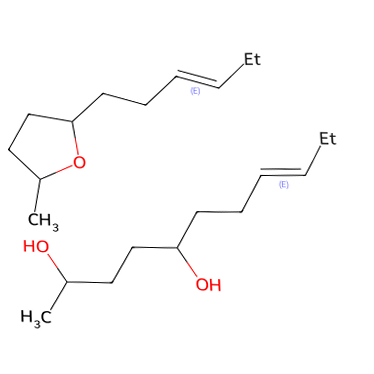 CC/C=C/CCC(O)CCC(C)O.CC/C=C/CCC1CCC(C)O1